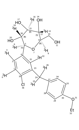 [2H]c1c([2H])c([C@]2([2H])O[C@]([2H])(CO)[C@@]([2H])(O)[C@]([2H])(O)[C@@]2([2H])O)c([2H])c(C([2H])([2H])c2ccc(OCC)cc2)c1Cl